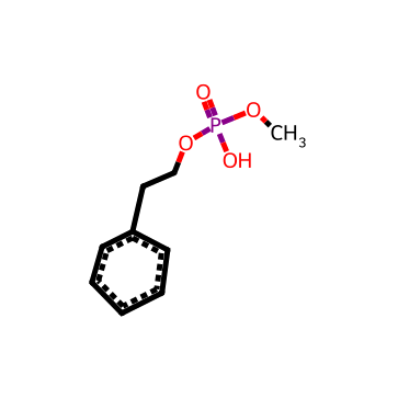 COP(=O)(O)OCCc1ccccc1